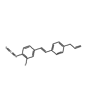 C=CCc1ccc(C=Cc2ccc(N=C=S)c(F)c2)cc1